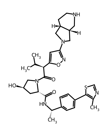 Cc1ncsc1-c1ccc([C@H](C)NC(=O)[C@@H]2C[C@@H](O)CN2C(=O)[C@H](c2cc(N3C[C@H]4CNCC[C@H]4C3)no2)C(C)C)cc1